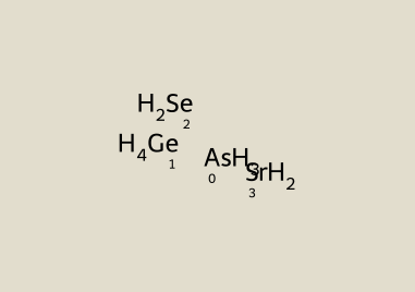 [AsH3].[GeH4].[SeH2].[SrH2]